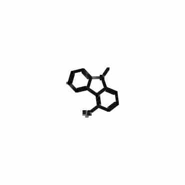 Cn1c2cc[c]cc2c2c(C(F)(F)F)cccc21